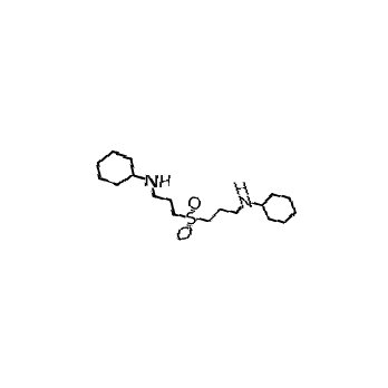 O=S(=O)(CCCNC1CCCCC1)CCCNC1CCCCC1